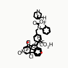 O=C(O[C@H]1CN2CCC1CC2)N(CC1=CCC(CCC2(c3ccccc3OC(F)F)C(Cl)=C[N+]([O-])=CC2(Cl)c2ccccc2OC(F)F)(C(=O)O)C=C1)c1ccccc1F